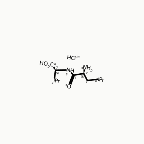 CC(C)C[C@H](N)C(=O)N[C@H](C(=O)O)C(C)C.Cl